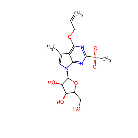 C=CCOc1nc(S(C)(=O)=O)nc2c1c(C)cn2[C@H]1OC(CO)[C@@H](O)[C@H]1O